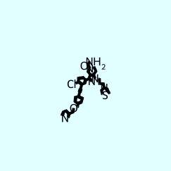 NC(=O)N1CCc2c(c(-c3ccc(Cl)c(C#Cc4ccc(COCc5cccnc5)cc4)c3)nn2CCCN2CCSCC2)C1